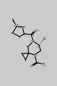 CC[C@@H]1CN(C(=O)C(F)(F)F)C2(CC2)CN1C(=O)C1CC[C@@H](C)N1